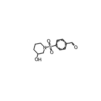 O=Cc1ccc(S(=O)(=O)N2CCCC(O)C2)cc1